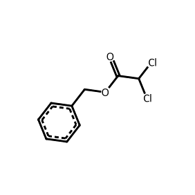 O=C(OCc1ccccc1)C(Cl)Cl